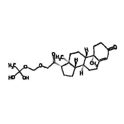 CC(O)(O)OCOCC(=O)[C@H]1CC[C@H]2[C@@H]3CCC4=CC(=O)CC[C@]4(C)[C@H]3CC[C@]12C